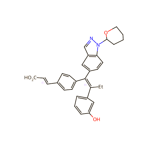 CC/C(=C(/c1ccc(/C=C/C(=O)O)cc1)c1ccc2c(cnn2C2CCCCO2)c1)c1cccc(O)c1